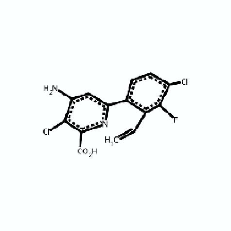 C=Cc1c(-c2cc(N)c(Cl)c(C(=O)O)n2)ccc(Cl)c1F